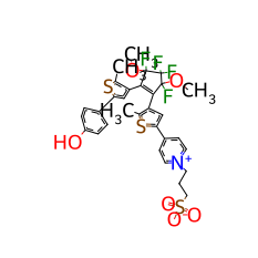 COC1(F)C(c2cc(-c3ccc(O)cc3)sc2C)=C(c2cc(-c3cc[n+](CCCS(=O)(=O)[O-])cc3)sc2C)C(F)(OC)C1(F)F